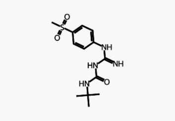 CC(C)(C)NC(=O)NC(=N)Nc1ccc(S(C)(=O)=O)cc1